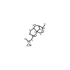 C[C@@H](C#N)CC1CCC2OC3CC2(CO[C@@H]3C)O1